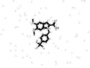 COc1cc2cc(C(=O)O)n(Cc3ccc(C(F)(F)F)cc3)c2cc1OC